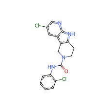 O=C(Nc1ccccc1Cl)N1CCc2[nH]c3ncc(Cl)cc3c2C1